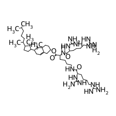 CC(C)CCCC(C)C1CCC2C3CC=C4CC(OC(=O)C(CCCCNC(=O)C(CCCCNC(=N)N)NC(=N)N)NC(=O)C(CCCCNC(=N)N)NC(=N)N)CCC4(C)C3CCC12C